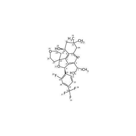 CC(C)c1nc2c(c3c1[C@@H](c1ccc(C(F)(F)F)cc1F)OC31CCOCC1)[C@@H](O)CC(C)(C)C2